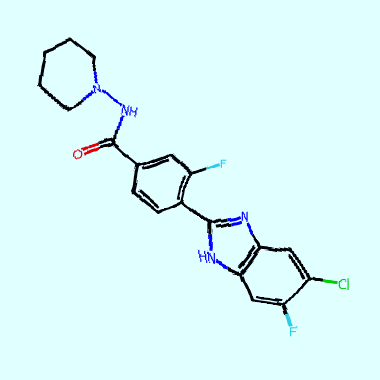 O=C(NN1CCCCC1)c1ccc(-c2nc3cc(Cl)c(F)cc3[nH]2)c(F)c1